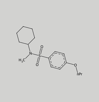 CCCOc1ccc(S(=O)(=O)N(C)C2CCCCC2)cc1